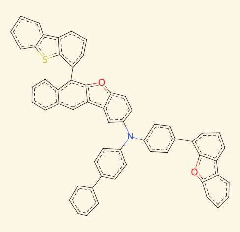 c1ccc(-c2ccc(N(c3ccc(-c4cccc5c4oc4ccccc45)cc3)c3ccc4oc5c(-c6cccc7c6sc6ccccc67)c6ccccc6cc5c4c3)cc2)cc1